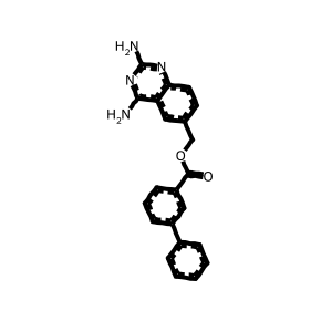 Nc1nc(N)c2cc(COC(=O)c3cccc(-c4ccccc4)c3)ccc2n1